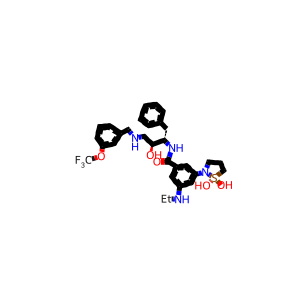 CCNc1cc(C(=O)N[C@@H](Cc2ccccc2)[C@@H](O)CNCc2cccc(OC(F)(F)F)c2)cc(N2CCCS2(O)O)c1